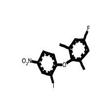 Cc1cc(F)cc(C)c1Oc1ccc([N+](=O)[O-])cc1I